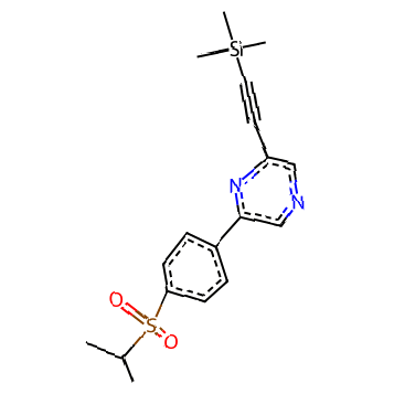 CC(C)S(=O)(=O)c1ccc(-c2cncc(C#C[Si](C)(C)C)n2)cc1